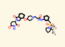 CC1(C)CCCCN1S(=O)(=O)Cc1cccc(NC(=O)CCN2CCC(Oc3cccc4c3CN(C3CCC(=O)NC3=O)C4=O)CC2)c1